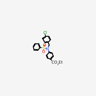 CCOC(=O)c1ccc(N(Cc2ccc(Cl)cc2)S(=O)(=O)c2ccccc2)cc1